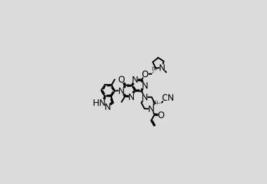 C=CC(=O)N1CCN(c2nc(OC[C@@H]3CCCN3C)nc3c(=O)n(-c4c(C)ccc5[nH]ncc45)c(C)nc23)C[C@@H]1CC#N